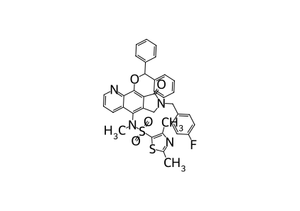 Cc1nc(C)c(S(=O)(=O)N(C)c2c3c(c(OC(c4ccccc4)c4ccccc4)c4ncccc24)C(=O)N(Cc2ccc(F)cc2)C3)s1